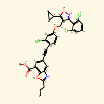 CCCc1nc2cc(C#Cc3ccc(OCc4c(-c5c(Cl)cccc5Cl)noc4C4CC4)cc3Cl)cc(C(=O)OC)c2o1